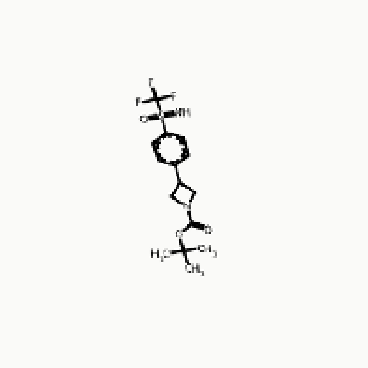 CC(C)(C)OC(=O)N1CC(c2ccc(S(=N)(=O)C(F)(F)F)cc2)C1